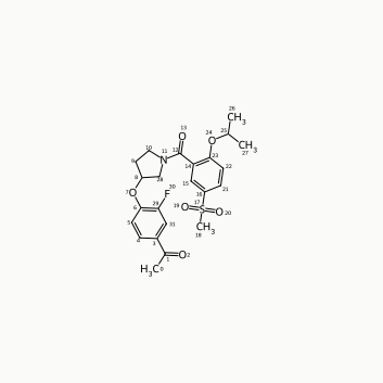 CC(=O)c1ccc(OC2CCN(C(=O)c3cc(S(C)(=O)=O)ccc3OC(C)C)C2)c(F)c1